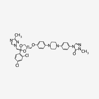 Cc1ncn(C[C@@]2(c3ccc(Cl)cc3Cl)OC[C@@H](COc3ccc(N4CCN(c5ccc(-n6cnn(C)c6=O)cc5)CC4)cc3)O2)n1